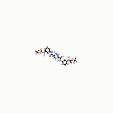 CC(C)(C)OC(=O)Nc1cccc(NC(=O)c2cnc(C(=O)Nc3cccc(NC(=O)OC(C)(C)C)c3)cn2)c1